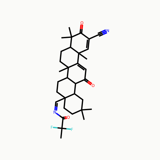 CC1(C)CCC2(/C=N\C(=O)C(C)(F)F)CCC3C(C(=O)C=C4C5(C)C=C(C#N)C(=O)C(C)(C)C5CCC43C)C2C1